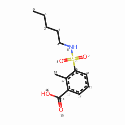 CCCCCNS(=O)(=O)c1cccc(C(=O)O)c1C